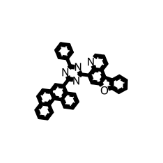 c1ccc(-c2nc(-c3cc4ccc5ccccc5c4c4ccccc34)nc(-c3cc4oc5ccccc5c4c4cccnc34)n2)cc1